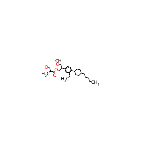 C=C(CO)C(=O)OCC(COC)c1ccc(C2CCC(CCCCC)CC2)c(CC)c1